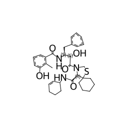 Cc1c(O)cccc1C(=O)N[C@@H](Cc1ccccc1)[C@H](O)C(=O)N1CSC2(CCCCC2)[C@H]1C(=O)NC1C=CCCC1